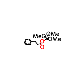 CO[Si](COC(=O)CCc1ccccc1)(OC)OC